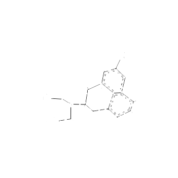 CCN(CC)C1Cc2cccc3cc(O)cc(c23)C1